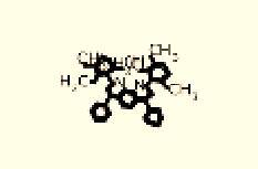 CCc1ccc(CC)c(-c2cc(-c3ccccc3)c3ccc4c(-c5ccccc5)cc(-c5c(CC)ccc(CC)c5CC)nc4c3n2)c1CC